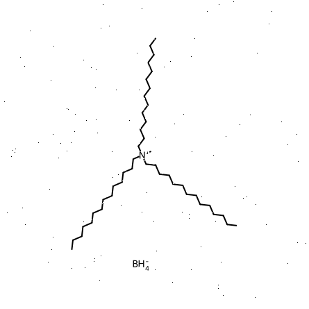 CCCCCCCCCCCCCC[N+](C)(CCCCCCCCCCCCCC)CCCCCCCCCCCCCC.[BH4-]